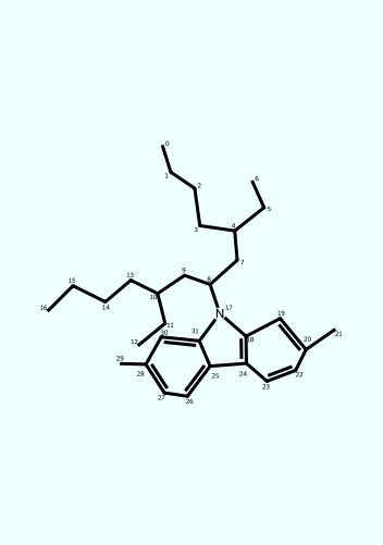 CCCCC(CC)CC(CC(CC)CCCC)n1c2cc(C)ccc2c2ccc(C)cc21